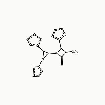 CC(=O)OC1C(=O)N([C@@H]2[C@H](c3cccs3)N2c2cccs2)C1c1cccs1